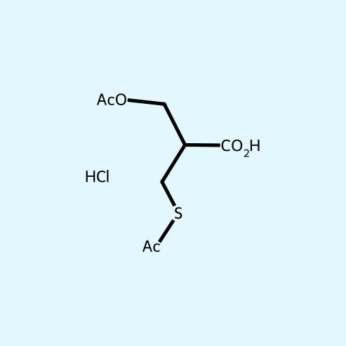 CC(=O)OCC(CSC(C)=O)C(=O)O.Cl